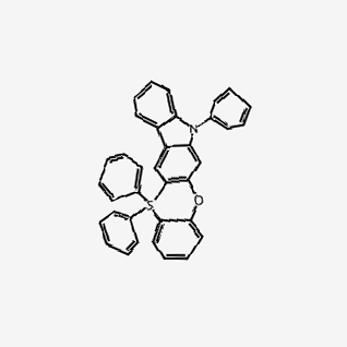 c1ccc(-n2c3ccccc3c3cc4c(cc32)Oc2ccccc2S4(c2ccccc2)c2ccccc2)cc1